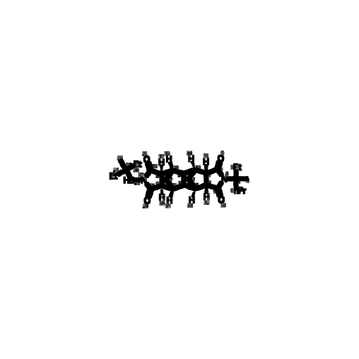 CCCC(C)(CC)N1C(=O)[C@@H]2[C@H](C1=O)[C@@H]1C[C@H]2C2C1[C@H]1C[C@@H]2[C@@H]2C(=O)N(BC(C)(CC)CC)C(=O)[C@@H]21